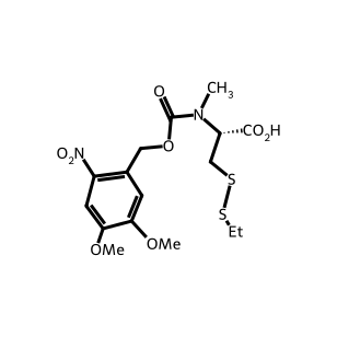 CCSSC[C@@H](C(=O)O)N(C)C(=O)OCc1cc(OC)c(OC)cc1[N+](=O)[O-]